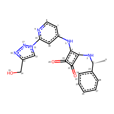 C[C@@H](Nc1c(Nc2ccnc(-n3cc(CO)nn3)c2)c(=O)c1=O)c1ccccc1